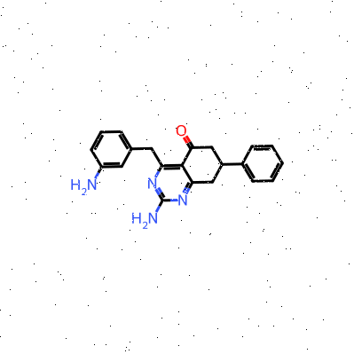 Nc1cccc(Cc2nc(N)nc3c2C(=O)CC(c2ccccc2)C3)c1